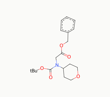 CC(C)(C)OC(=O)N(CC(=O)OCc1ccccc1)C1CCOCC1